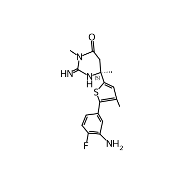 Cc1cc([C@]2(C)CC(=O)N(C)C(=N)N2)sc1-c1ccc(F)c(N)c1